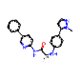 C[C@@H](Nc1ccc(-c2ccnn2C)cc1)C(=O)Nc1ccc(-c2ccccc2)cn1